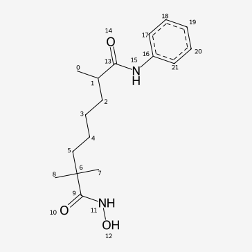 CC(CCCCC(C)(C)C(=O)NO)C(=O)Nc1ccccc1